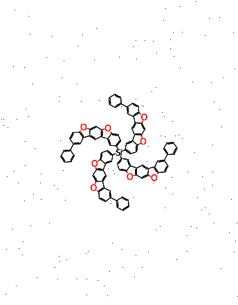 c1ccc(-c2ccc3oc4cc5oc6ccc([Si](c7ccc8oc9cc%10oc%11ccc(-c%12ccccc%12)cc%11c%10cc9c8c7)(c7ccc8oc9cc%10oc%11ccc(-c%12ccccc%12)cc%11c%10cc9c8c7)c7ccc8oc9cc%10oc%11ccc(-c%12ccccc%12)cc%11c%10cc9c8c7)cc6c5cc4c3c2)cc1